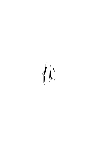 [CH2]C.[F][Zn][F]